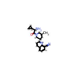 C[C@H]1C[C@@H](c2ccc3cccc(C#N)c3n2)CN(C(=O)[C@@H](N)C2CC2)C1